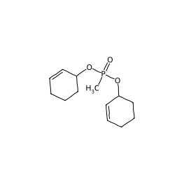 CP(=O)(OC1C=CCCC1)OC1C=CCCC1